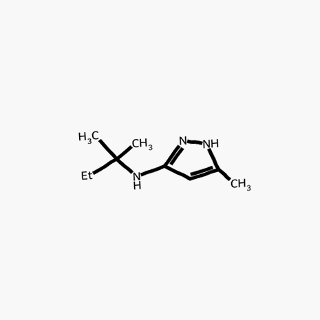 CCC(C)(C)Nc1cc(C)[nH]n1